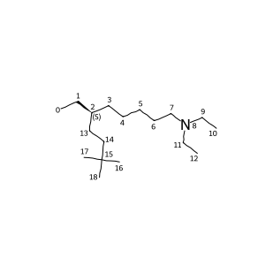 CC[C@@H](CCCCCN(CC)CC)CCC(C)(C)C